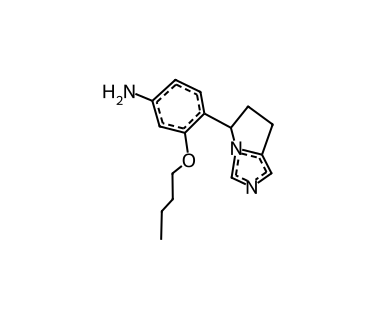 CCCCOc1cc(N)ccc1C1CCc2cncn21